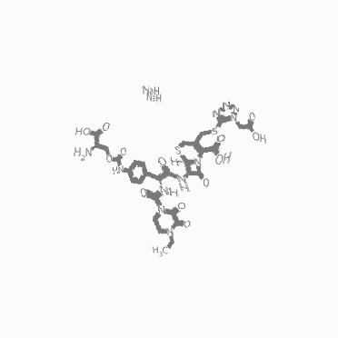 CCN1CCN(C(=O)N[C@@H](C(=O)N[C@@H]2C(=O)N3C(C(=O)O)=C(CSc4nnnn4CC(=O)O)CS[C@H]23)c2ccc(NC(=O)OC[C@@H](N)C(=O)O)cc2)C(=O)C1=O.[NaH].[NaH]